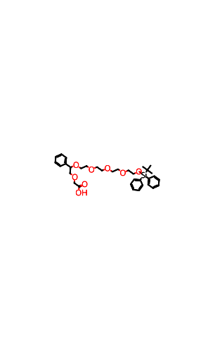 CC(C)(C)[Si](OCCOCCOCCOCCOC(COCC(=O)O)c1ccccc1)(c1ccccc1)c1ccccc1